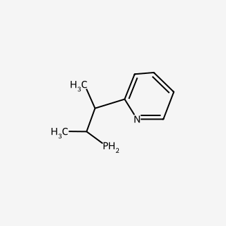 CC(P)C(C)c1ccccn1